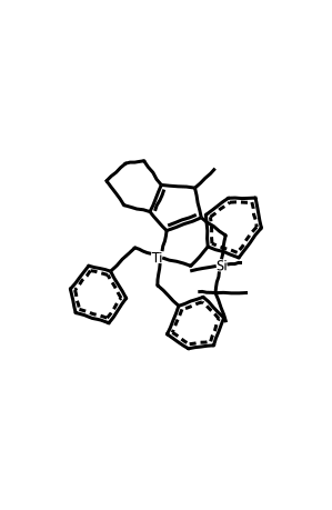 CC1C2=C(CCCC2)[C]([Ti]([CH2]c2ccccc2)([CH2]c2ccccc2)[CH2]c2ccccc2)=C1C[Si](C)(C)C(C)(C)C